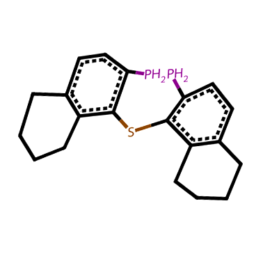 Pc1ccc2c(c1Sc1c(P)ccc3c1CCCC3)CCCC2